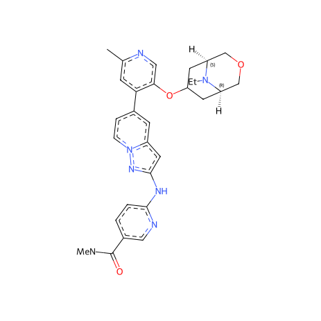 CCN1[C@@H]2COC[C@H]1CC(Oc1cnc(C)cc1-c1ccn3nc(Nc4ccc(C(=O)NC)cn4)cc3c1)C2